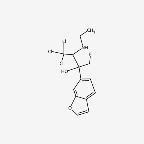 CCNC(C(Cl)(Cl)Cl)C(O)(CF)c1ccc2ccoc2c1